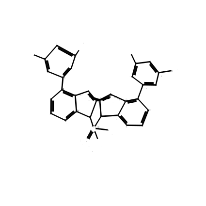 CC1=Cc2c(-c3cc(F)cc(F)c3)cccc2[CH]1[Zr]([CH3])([CH3])(=[SiH2])[CH]1C(C)=Cc2c(-c3cc(F)cc(F)c3)cccc21.Cl.Cl